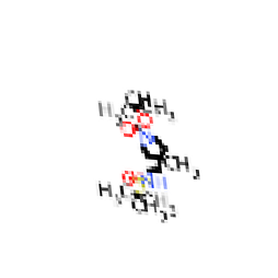 CC1(CCN[S+]([O-])C(C)(C)C)CCN(C(=O)OC(C)(C)C)CC1